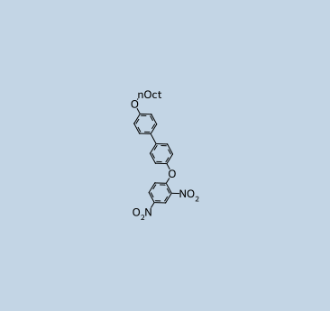 CCCCCCCCOc1ccc(-c2ccc(Oc3ccc([N+](=O)[O-])cc3[N+](=O)[O-])cc2)cc1